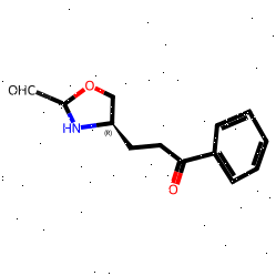 O=CC1N[C@H](CCC(=O)c2ccccc2)CO1